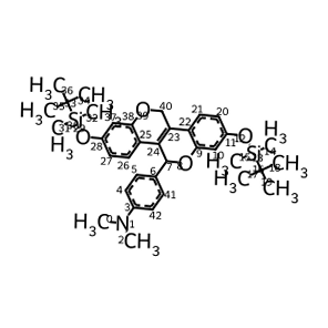 CN(C)c1ccc(C2Oc3cc(O[Si](C)(C)C(C)(C)C)ccc3C3=C2c2ccc(O[Si](C)(C)C(C)(C)C)cc2OC3)cc1